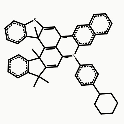 CC1(C)C2=CC3(C)C4=C(C5(C)C(=CC4(C)c4cc6ccccc6cc4N3c3ccc(C4CCCCC4)cc3)Sc3ccccc35)C2(C)c2ccccc21